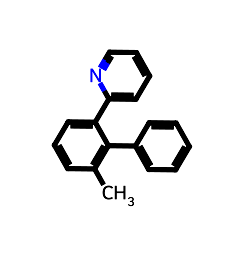 Cc1cccc(-c2ccccn2)c1-c1ccccc1